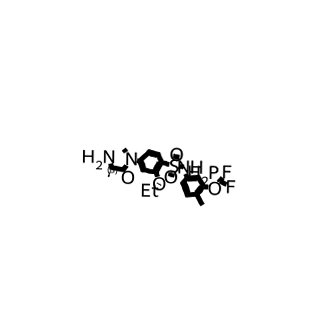 CCOc1cc(N(C)C(=O)[C@H](C)N)ccc1S(=O)(=O)Nc1ccc(C)c(OC(F)(F)P)c1